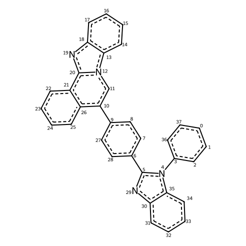 c1ccc(-n2c(-c3ccc(-c4cn5c6ccccc6nc5c5ccccc45)cc3)nc3ccccc32)cc1